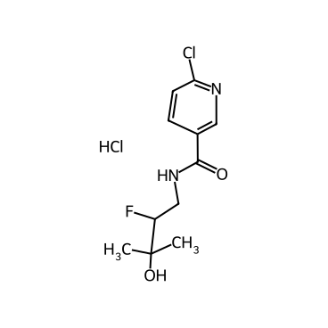 CC(C)(O)C(F)CNC(=O)c1ccc(Cl)nc1.Cl